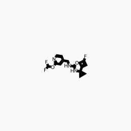 O=C(NCc1ccnc(OC(F)F)c1)NC1(C23CC(F)(C2)C3)CC1